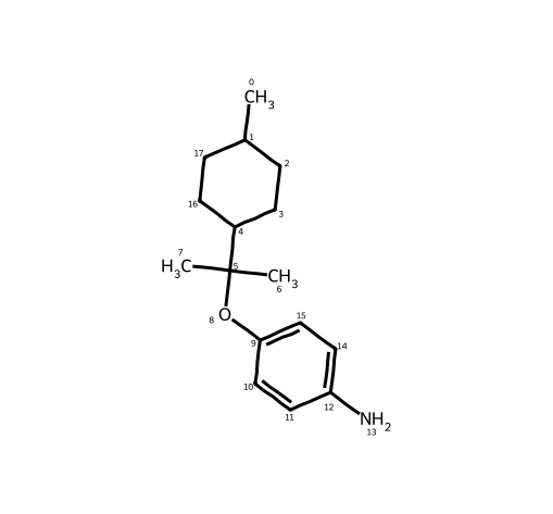 CC1CCC(C(C)(C)Oc2ccc(N)cc2)CC1